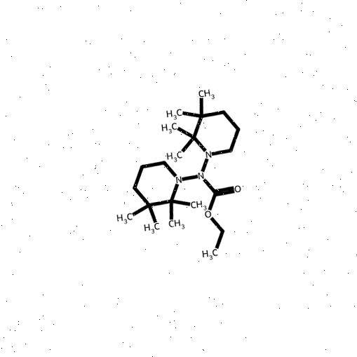 CCOC(=O)N(N1CCCC(C)(C)C1(C)C)N1CCCC(C)(C)C1(C)C